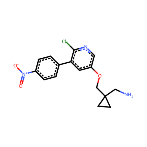 NCC1(COc2cnc(Cl)c(-c3ccc([N+](=O)[O-])cc3)c2)CC1